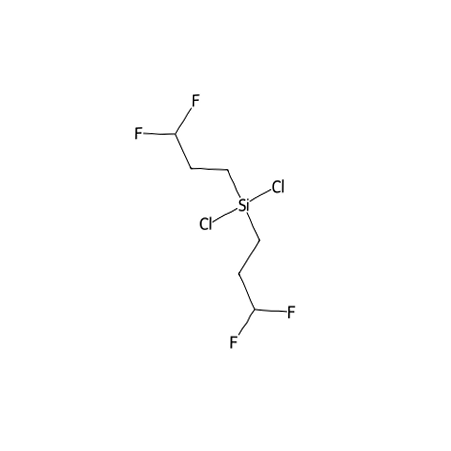 FC(F)CC[Si](Cl)(Cl)CCC(F)F